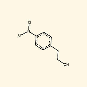 OCCc1ccc(N(Cl)Cl)cc1